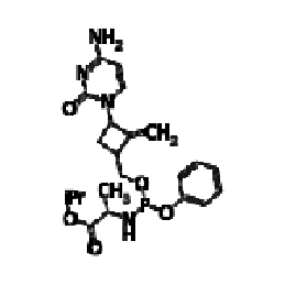 C=C1C(COP(NC(C)C(=O)OC(C)C)Oc2ccccc2)CC1n1ccc(N)nc1=O